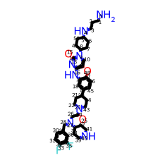 NCCCNC1CCC(n2cc3c(nc2=O)Nc2cc(C4CCN(C(=O)CN(Cc5ccc(F)c(F)c5)C5CCNCC5)CC4)ccc2O3)CC1